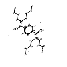 CCCCN(CCCC)C(=O)c1ccc(C(=O)N(CCCC)CCCC)cc1